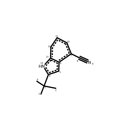 CC(C)(C)c1cc2c(C#N)cccc2[nH]1